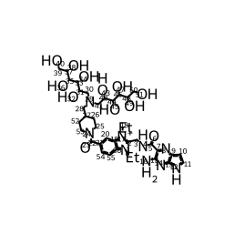 CCn1c(CNC(=O)c2nc3cc[nH]c3nc2N)[n+](CC)c2cc(C(=O)N3CCC(CN(CC(O)C(O)C(O)C(O)CO)CC(O)C(O)C(O)C(O)CO)CC3)ccc21